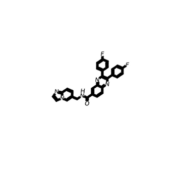 O=C(NCc1ccc2nccn2c1)c1ccc2nc(-c3ccc(F)cc3)c(-c3ccc(F)cc3)nc2c1